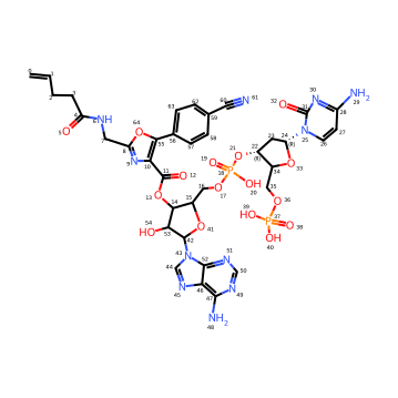 C=CCCC(=O)NCc1nc(C(=O)OC2C(COP(=O)(O)O[C@@H]3C[C@H](n4ccc(N)nc4=O)OC3COP(=O)(O)O)OC(n3cnc4c(N)ncnc43)C2O)c(-c2ccc(C#N)cc2)o1